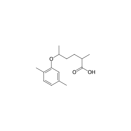 Cc1ccc(C)c(OC(C)CCC(C)C(=O)O)c1